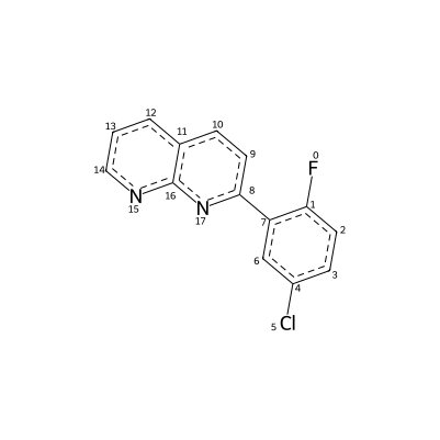 Fc1ccc(Cl)cc1-c1ccc2cccnc2n1